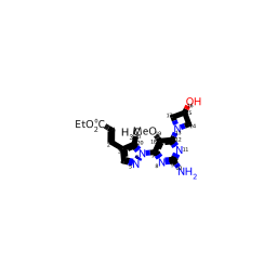 CCOC(=O)C=Cc1cnn(-c2nc(N)nc(N3CC(O)C3)c2OC)c1C